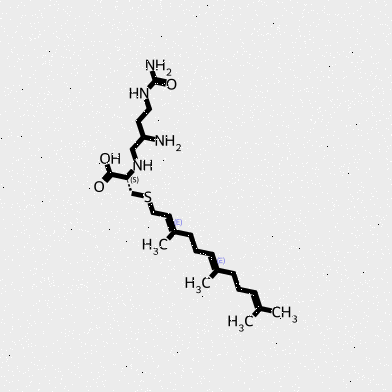 CC(C)=CCC/C(C)=C/CC/C(C)=C/CSC[C@@H](NCC(N)CCNC(N)=O)C(=O)O